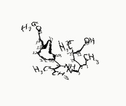 CCC(/C=N\NC(=C(C)C)c1ccc(COC)cc1)CC(C)CO